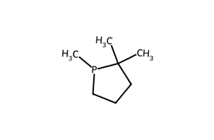 CP1CCCC1(C)C